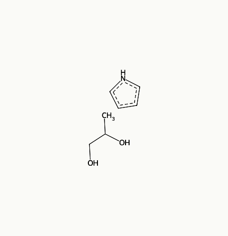 CC(O)CO.c1cc[nH]c1